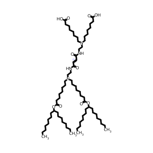 CCCCCCCCC(CCCCCCCC)OC(=O)CCCCCCCN(CCCCCCCC(=O)OC(CCCCCCCC)CCCCCCCC)CCNC(=O)/C=C/C(=O)NCCN(CCCCCCCC(=O)O)CCCCCCCC(=O)O